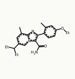 CCOc1ccc(-c2nc3c(C)cc(C(CC)CC)cn3c2C(N)=O)c(C)c1